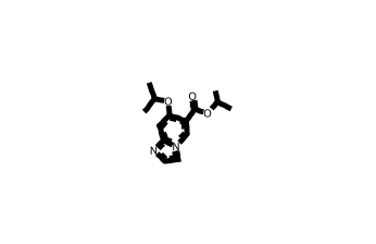 CC(C)OC(=O)c1cn2ccnc2cc1OC(C)C